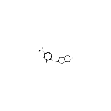 O=[N+]([O-])c1ccc(OC2CC3CNCC3C2)c(Cl)c1